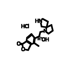 Cc1c([C@@H](O)CN2CCCC23CCNC3)ccc2c1COC2=O.Cl